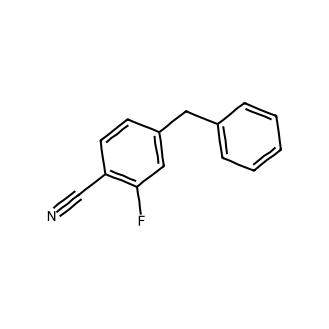 N#Cc1ccc(Cc2ccccc2)cc1F